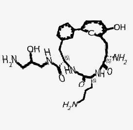 NCCC[C@@H]1NC(=O)[C@@H](N)Cc2cc(ccc2O)-c2cccc(c2)C[C@@H](C(=O)NCC(O)CN)NC1=O